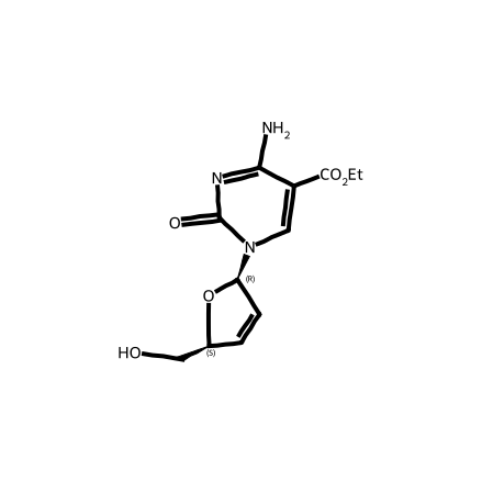 CCOC(=O)c1cn([C@H]2C=C[C@@H](CO)O2)c(=O)nc1N